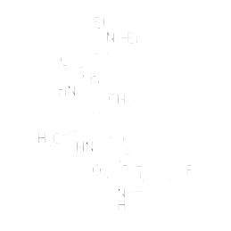 CCN(CC)CCS(=O)(=O)Nc1c(C)[nH]c(/C=C2\C(=O)Nc3ccc(F)cc32)c1C